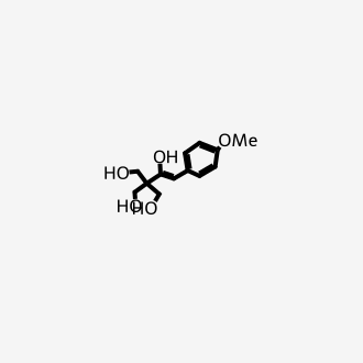 COc1ccc(C=C(O)C(CO)(CO)CO)cc1